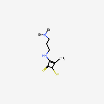 CCN(CC)CCCNC1=C(C)C(S)C1=S